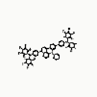 Fc1c(F)c(F)c(B(c2ccc(-c3ccc4c(c3)N(c3ccccc3)c3cccc5c(-c6ccc(B(c7c(F)c(F)c(F)c(F)c7F)c7c(F)c(F)c(F)c(F)c7F)cc6)ccc-4c35)cc2)c2c(F)c(F)c(F)c(F)c2F)c(F)c1F